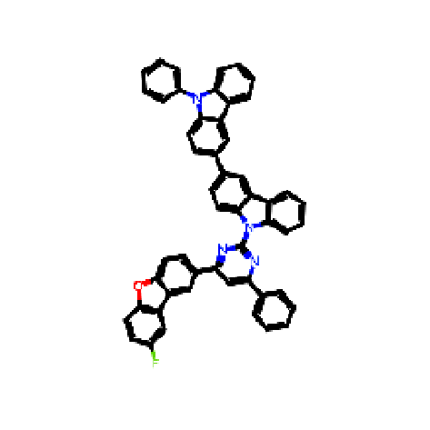 Fc1ccc2oc3ccc(-c4cc(-c5ccccc5)nc(-n5c6ccccc6c6cc(-c7ccc8c(c7)c7ccccc7n8-c7ccccc7)ccc65)n4)cc3c2c1